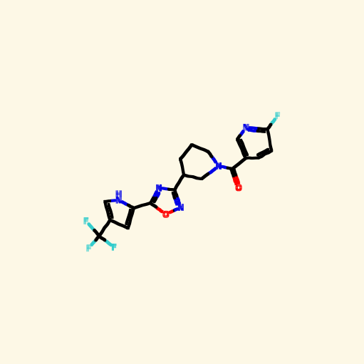 O=C(c1ccc(F)nc1)N1CCCC(c2noc(-c3cc(C(F)(F)F)c[nH]3)n2)C1